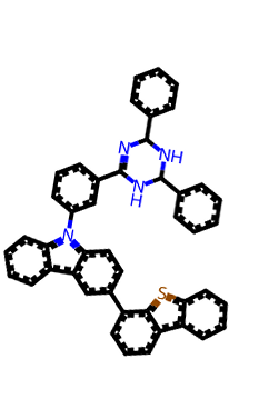 c1ccc(C2N=C(c3cccc(-n4c5ccccc5c5cc(-c6cccc7c6sc6ccccc67)ccc54)c3)NC(c3ccccc3)N2)cc1